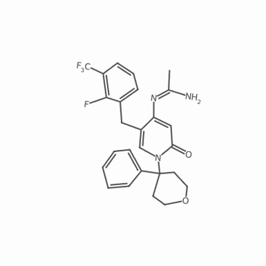 C/C(N)=N/c1cc(=O)n(C2(c3ccccc3)CCOCC2)cc1Cc1cccc(C(F)(F)F)c1F